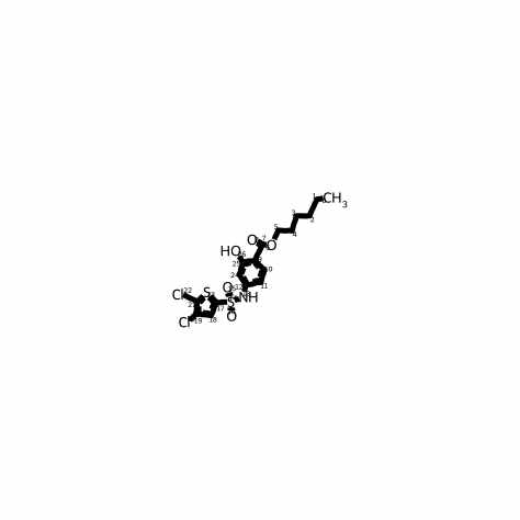 CCCCCCOC(=O)c1ccc(NS(=O)(=O)c2cc(Cl)c(Cl)s2)cc1O